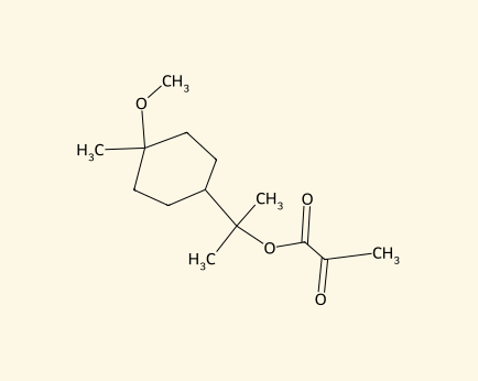 COC1(C)CCC(C(C)(C)OC(=O)C(C)=O)CC1